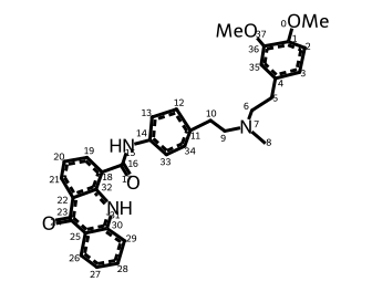 COc1ccc(CCN(C)CCc2ccc(NC(=O)c3cccc4c(=O)c5ccccc5[nH]c34)cc2)cc1OC